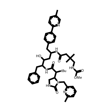 COC(=O)NCC(C)(C)CC(=O)NC(Cc1ccc(-c2ccc(C)cn2)cc1)CC(O)C(Cc1ccccc1)NC(=O)C(C1CNC(=O)N1Cc1cccc(C)n1)C(C)(C)C